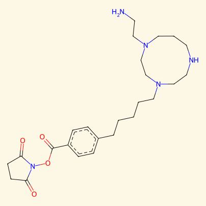 NCCN1CCCNCCN(CCCCCc2ccc(C(=O)ON3C(=O)CCC3=O)cc2)CC1